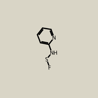 FSNc1ccccn1